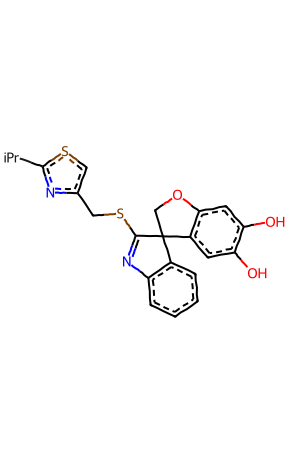 CC(C)c1nc(CSC2=Nc3ccccc3C23COc2cc(O)c(O)cc23)cs1